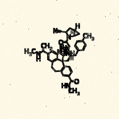 C=C(NC)c1ccc2c(c1)CCc1cc(C(=O)NC)ccc1C2(C[C@H](Cc1ccc(C)cc1)NCC(=O)N1C(C#N)C[C@@H]2CC21)c1nnn[nH]1